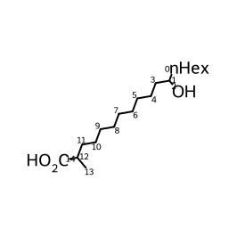 CCCCCCC(O)CCCCCCCCCC(C)C(=O)O